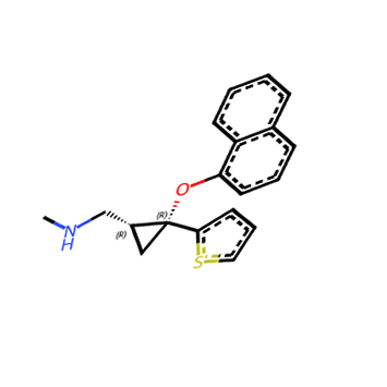 CNC[C@H]1C[C@]1(Oc1cccc2ccccc12)c1cccs1